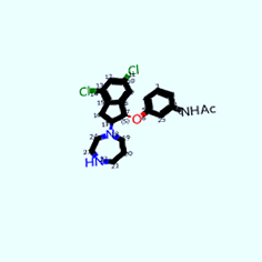 CC(=O)Nc1cccc(O[C@H]2c3cc(Cl)cc(Cl)c3C[C@@H]2N2CCCNCC2)c1